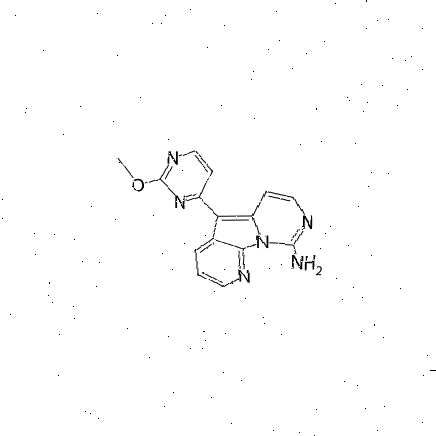 COc1nccc(-c2c3cccnc3n3c(N)nccc23)n1